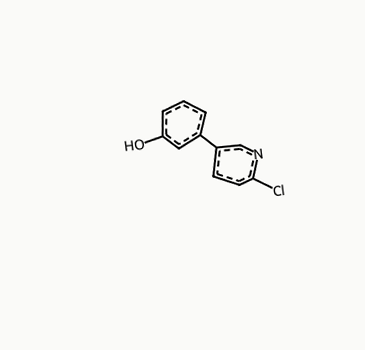 Oc1cccc(-c2ccc(Cl)nc2)c1